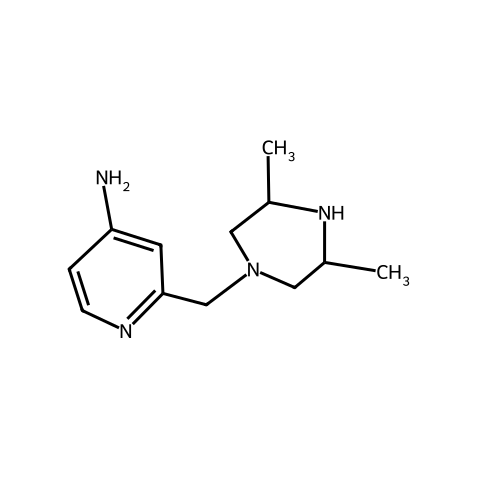 CC1CN(Cc2cc(N)ccn2)CC(C)N1